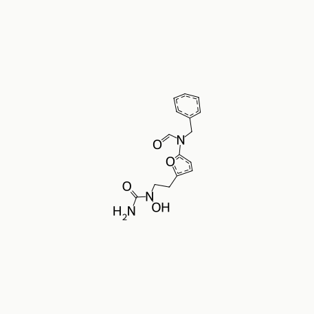 NC(=O)N(O)CCc1ccc(N(C=O)Cc2ccccc2)o1